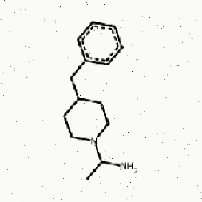 CC(N)N1CCC(Cc2ccccc2)CC1